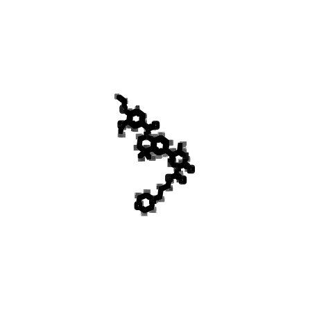 CCOc1ccc(C(=O)N2CCC(C)(C)c3cc(C4=NN(C(=O)OCCCN5CCOCC5)C(=O)SC4C)ccc32)cc1OC